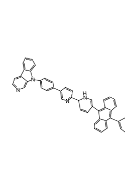 C1=CC(c2ccc(-c3ccc(-n4c5ccccc5c5ccncc54)cc3)cn2)NC=C1c1c2ccccc2c(-c2ccccc2)c2ccccc12